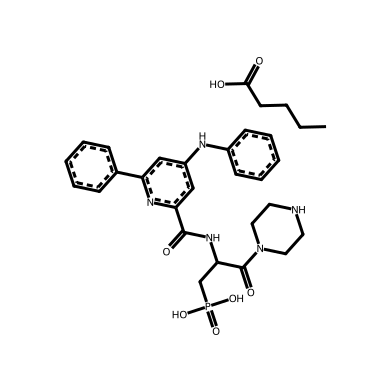 CCCCC(=O)O.O=C(NC(CP(=O)(O)O)C(=O)N1CCNCC1)c1cc(Nc2ccccc2)cc(-c2ccccc2)n1